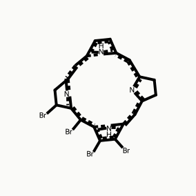 Brc1c(Br)c2[nH]c1cc1nc(cc3ccc(cc4nc(c2Br)C(Br)C4)[nH]3)CC1